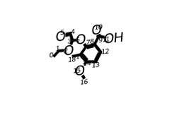 CCOC(C=O)Oc1c(C(=O)O)ccc(OC)c1C